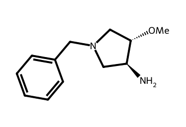 CO[C@H]1CN(Cc2ccccc2)C[C@@H]1N